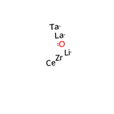 [Ce].[La].[Li].[O].[Ta].[Zr]